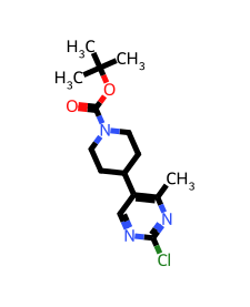 Cc1nc(Cl)ncc1C1CCN(C(=O)OC(C)(C)C)CC1